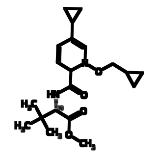 COC(=O)[C@@H](NC(=O)C1C=CC(C2CC2)=CN1OCC1CC1)C(C)(C)C